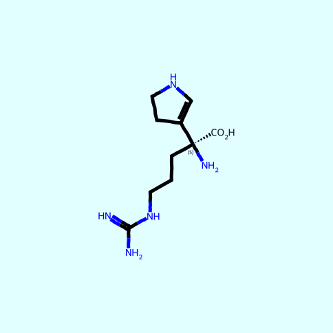 N=C(N)NCCC[C@@](N)(C(=O)O)C1=CNCC1